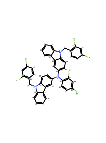 Fc1ccc(Cn2c3ccccc3c3cc(N(c4ccc5c(c4)c4ccccc4n5Cc4ccc(F)cc4F)c4ccc(F)cc4F)ccc32)c(F)c1